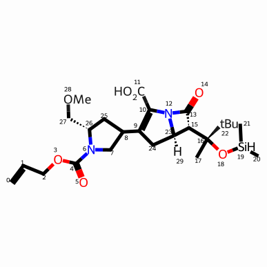 C=CCOC(=O)N1CC(C2=C(C(=O)O)N3C(=O)[C@H]([C@@](C)(O[SiH](C)C)C(C)(C)C)[C@H]3C2)C[C@H]1COC